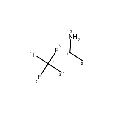 CCN.[CH2]C(F)(F)F